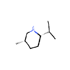 CC(C)[C@@H]1CC[C@H](C)CN1